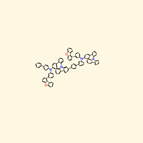 c1ccc(-c2ccc(N(c3ccc(-c4ccccc4-n4c5ccccc5c5ccc(-c6ccc(-c7cccc(N(c8ccc(-c9ccccc9-n9c%10ccccc%10c%10ccccc%109)cc8)c8cccc(-c9cccc%10oc%11ccccc%11c9%10)c8)c7)cc6)cc54)cc3)c3cccc(-c4cccc5oc6ccccc6c45)c3)cc2)cc1